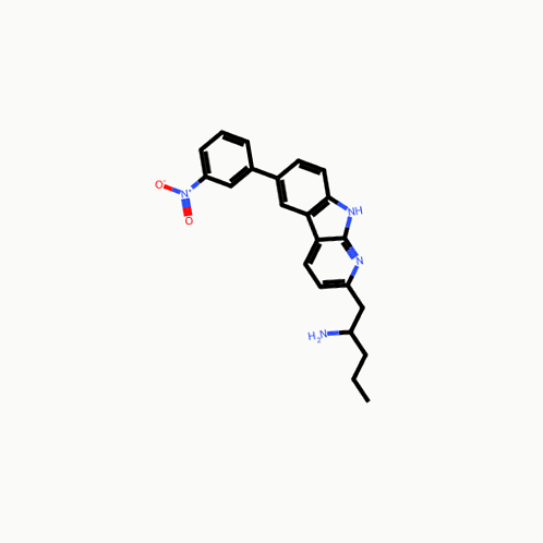 CCCC(N)Cc1ccc2c(n1)[nH]c1ccc(-c3cccc([N+](=O)[O-])c3)cc12